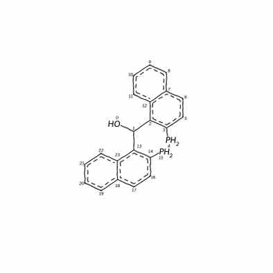 OC(c1c(P)ccc2ccccc12)c1c(P)ccc2ccccc12